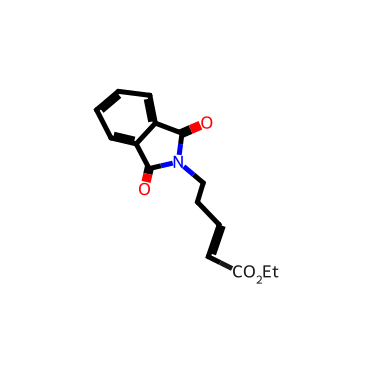 CCOC(=O)C=CCCN1C(=O)c2ccccc2C1=O